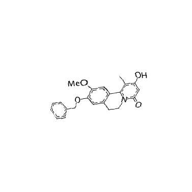 COc1cc2c(cc1OCc1ccccc1)CCn1c-2c(C)c(O)cc1=O